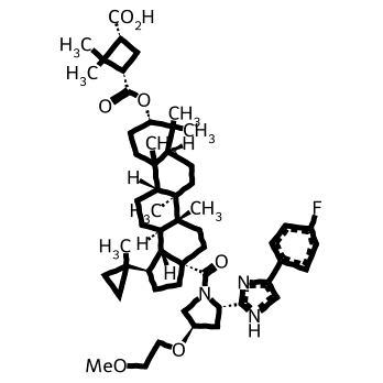 COCCO[C@@H]1C[C@@H](c2nc(-c3ccc(F)cc3)c[nH]2)N(C(=O)[C@]23CC[C@@H](C4(C)CC4)[C@@H]2[C@H]2CC[C@@H]4C5(C)CC[C@H](OC(=O)[C@H]6C[C@@H](C(=O)O)C6(C)C)C(C)(C)[C@@H]5CC[C@@]4(C)[C@]2(C)CC3)C1